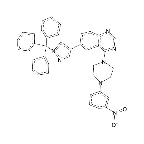 O=[N+]([O-])c1cccc(N2CCN(c3ncnc4ccc(-c5cnn(C(c6ccccc6)(c6ccccc6)c6ccccc6)c5)cc34)CC2)c1